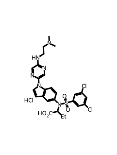 CCC(C(=O)O)N(c1ccc2c(ccn2-c2cnc(NCCN(C)C)cn2)c1)S(=O)(=O)c1cc(Cl)cc(Cl)c1.Cl